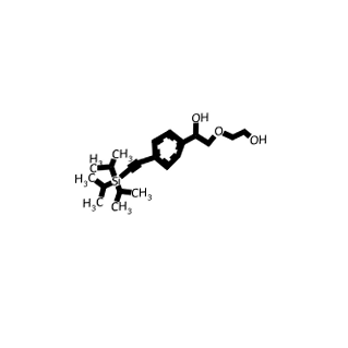 CC(C)[Si](C#Cc1ccc(C(O)COCCO)cc1)(C(C)C)C(C)C